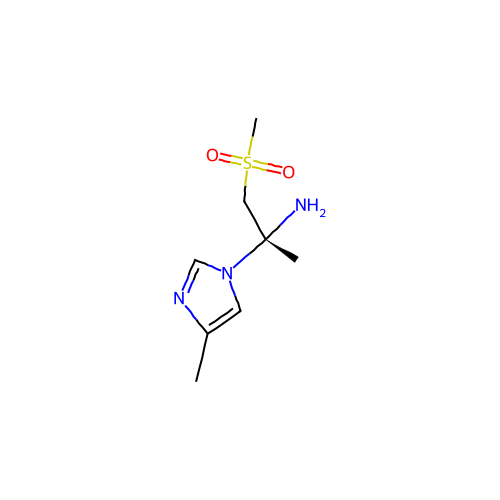 Cc1cn([C@@](C)(N)CS(C)(=O)=O)cn1